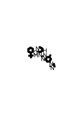 Cc1cc(-n2ccnc2)cc2nc(Nc3cccnc3Oc3ccccc3C(C)(C)C)[nH]c12